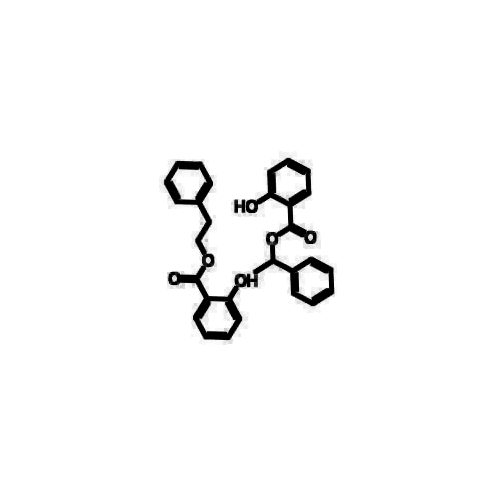 CC(OC(=O)c1ccccc1O)c1ccccc1.O=C(OCCc1ccccc1)c1ccccc1O